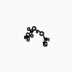 O=C1CCC(N2Cc3c(SCc4ccc(CCNC56CC7CC(CC5C7)C6)cc4)cccc3C2=O)C(=O)N1